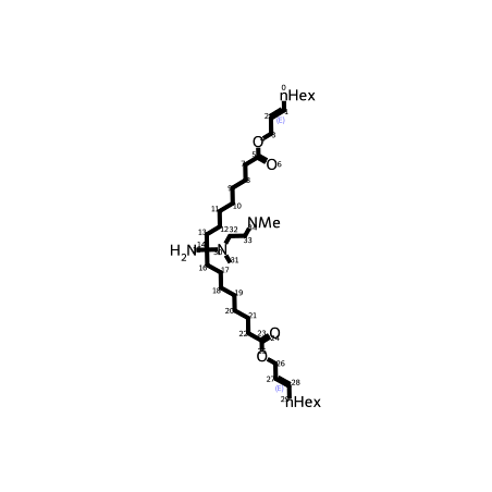 CCCCCC/C=C/COC(=O)CCCCCCCC(N)(CCCCCCCC(=O)OC/C=C/CCCCCC)N(C)CCNC